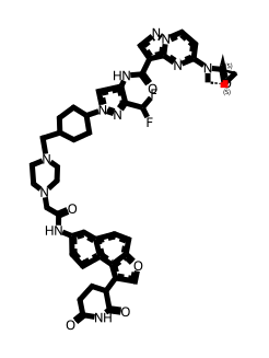 O=C1CCC(c2coc3ccc4cc(NC(=O)CN5CCN(CC6CCC(n7cc(NC(=O)c8cnn9ccc(N%10C[C@@]%11%12C[C@@]%10%11CO%12)nc89)c(C(F)F)n7)CC6)CC5)ccc4c23)C(=O)N1